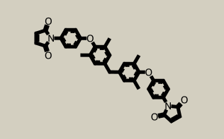 Cc1cc(Cc2cc(C)c(Oc3ccc(N4C(=O)C=CC4=O)cc3)c(C)c2)cc(C)c1Oc1ccc(N2C(=O)C=CC2=O)cc1